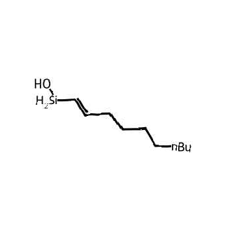 CCCCCCCCC=C[SiH2]O